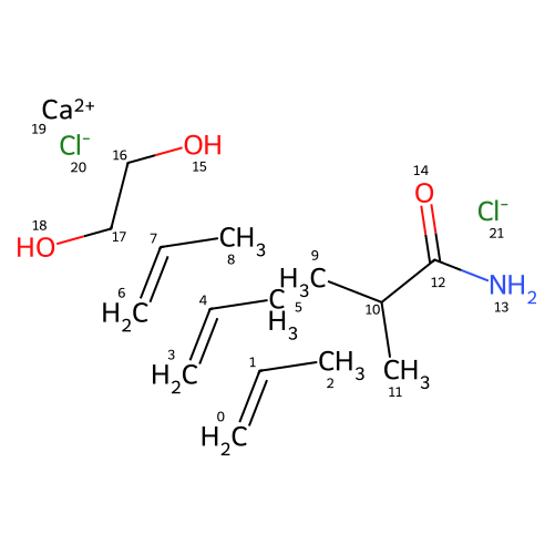 C=CC.C=CC.C=CC.CC(C)C(N)=O.OCCO.[Ca+2].[Cl-].[Cl-]